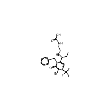 CCC(NCCNC(=O)O)c1nc(C(F)(F)F)c(Br)c(=O)n1Cc1ccccc1